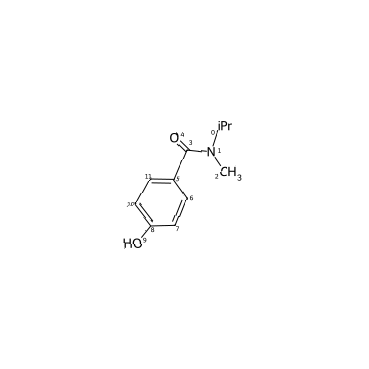 CC(C)N(C)C(=O)c1ccc(O)cc1